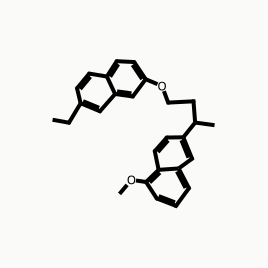 CCc1ccc2ccc(OCCC(C)c3ccc4c(OC)cccc4c3)cc2c1